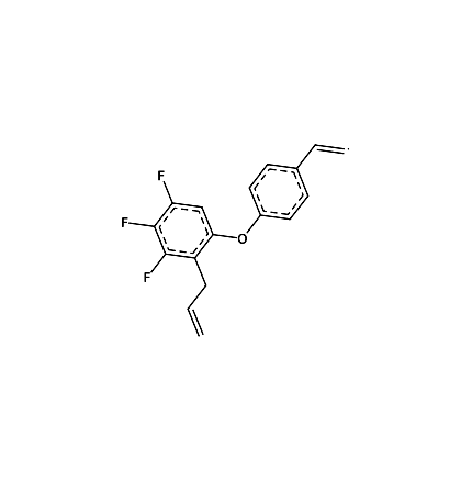 [CH]=Cc1ccc(Oc2cc(F)c(F)c(F)c2CC=C)cc1